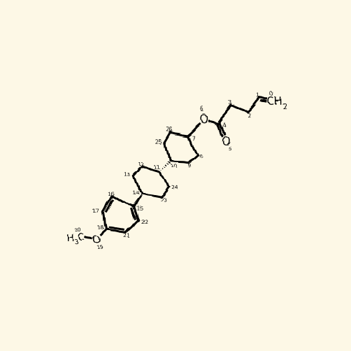 C=CCCC(=O)OC1CCC([C@H]2CC[C@H](c3ccc(OC)cc3)CC2)CC1